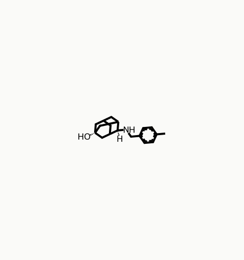 Cc1ccc(CN[C@H]2C3CC4CC2C[C@](O)(C4)C3)cc1